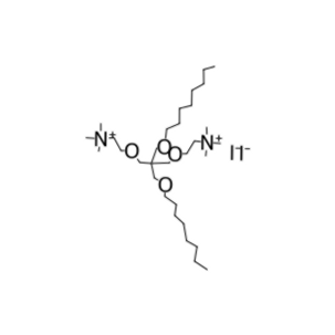 CCCCCCCCOCC(COCCCCCCCC)(COCC[N+](C)(C)C)COCC[N+](C)(C)C.[I-].[I-]